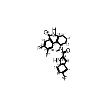 CN(C(=O)c1cc2cc(F)ccc2[nH]1)C1CCCc2[nH]c(=O)c3cc(F)c(F)cc3c21